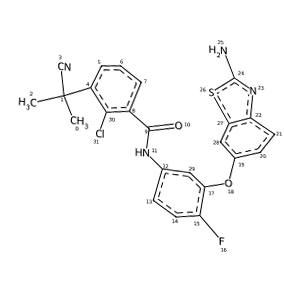 CC(C)(C#N)c1cccc(C(=O)Nc2ccc(F)c(Oc3ccc4nc(N)sc4c3)c2)c1Cl